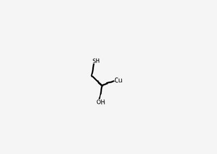 O[CH]([Cu])CS